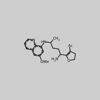 COc1cc(NC(C)CCC(N)C2=C(C(C)=O)CCO2)c2ncccc2c1